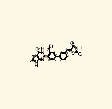 CCOc1cc(-c2cccc(/C=C3\OC(=O)NC3=O)c2)ccc1-c1nc2[nH]cnc2c(=O)[nH]1